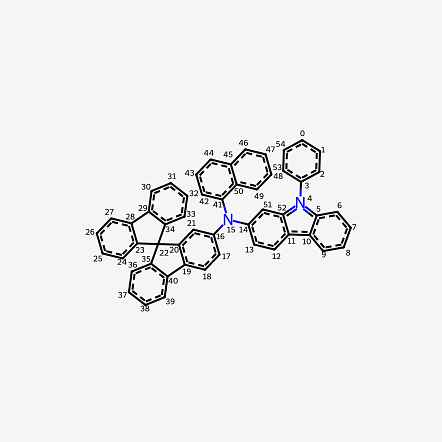 c1ccc(-n2c3ccccc3c3ccc(N(c4ccc5c(c4)C4(c6ccccc6-c6ccccc64)c4ccccc4-5)c4cccc5ccccc45)cc32)cc1